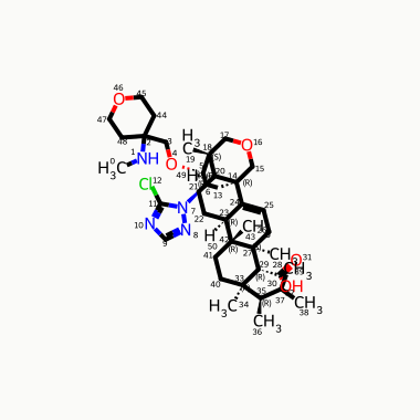 CNC1(CO[C@H]2[C@H](n3ncnc3Cl)C[C@@]34COC[C@]2(C)[C@@H]3CC[C@H]2C4=CC[C@@]3(C)[C@H](C(=O)O)[C@@](C)([C@H](C)C(C)C)CC[C@]23C)CCOCC1